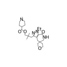 CCn1nc(CC(C)(C)COC(=O)C2CCN(C)CC2)c2c1C(=O)NCC1(CCOCC1)C2